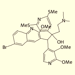 COc1nc2ccc(Br)cc2cc1C(c1ccnc(OC)c1OC)C(O)(CCN(C)C)c1cc(SC)nc(SC)c1